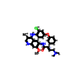 CCOc1cc2ncc(C#N)c(Nc3ccc(Oc4ccccc4)cc3Cl)c2cc1NC(=O)/C=C/CN(C)C